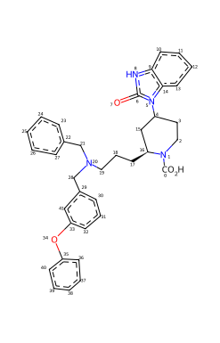 O=C(O)N1CCC(n2c(=O)[nH]c3ccccc32)C[C@@H]1CCCN(Cc1ccccc1)Cc1cccc(Oc2ccccc2)c1